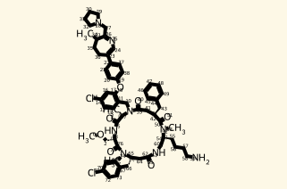 COC[C@@H]1NC(=O)[C@H](C)N(Cc2ccc(Cl)cc2Oc2ccc(C3=CN=C(CN4CCCC4)C(C)CC3)cc2)C(=O)C[C@@H](Cc2ccccc2)C(=O)N(C)[C@@H](CCCCN)CNC(=O)C[C@H](Cc2ccc(Cl)cc2)N(C)C1=O